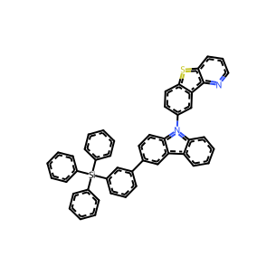 c1ccc([Si](c2ccccc2)(c2ccccc2)c2cccc(-c3ccc4c(c3)c3ccccc3n4-c3ccc4sc5cccnc5c4c3)c2)cc1